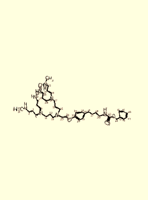 CNCCCN(CCCNC)CCCN(CCCN(CCCNC)CCCNC)CCOc1ccc(CCCCNC(=O)OCc2ccccc2)cc1